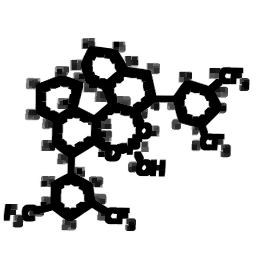 Op1oc2c(-c3cc(C(F)(F)F)cc(C(F)(F)F)c3)cc3ccccc3c2c2c(o1)c(-c1cc(C(F)(F)F)cc(C(F)(F)F)c1)cc1ccccc12